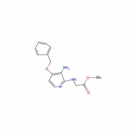 CC(C)(C)OC(=O)CNc1nccc(OCc2ccccc2)c1N